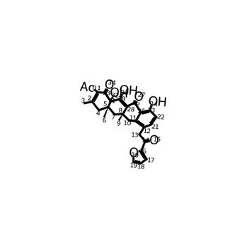 CC(=O)C1=C(C)C[C@@]2(C)C[C@@]3(C)Cc4c(CC(=O)c5ccco5)ccc(O)c4C(=O)C3=C(O)[C@@]2(O)C1=O